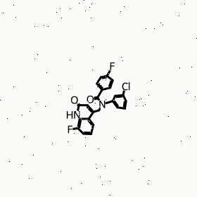 O=C(c1ccc(F)cc1)N(Cc1cc(=O)[nH]c2c(F)cccc12)c1cccc(Cl)c1